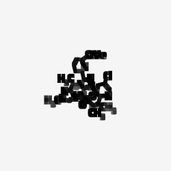 COc1cccc(-c2nnc(NS(=O)(=O)[C@@H](C)[C@H](C)c3ncc(Cl)cn3)n2[C@@H](C)c2ncn(C)n2)n1